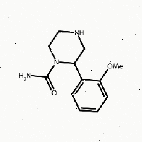 COc1ccccc1C1CNCCN1C(N)=O